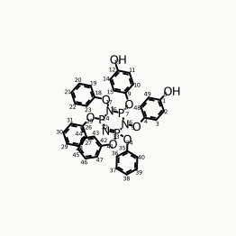 Oc1ccc(ON2P(Oc3ccc(O)cc3)N(Oc3ccccc3)P(Oc3ccccc3)N=P2(Oc2ccccc2)Oc2ccccc2)cc1